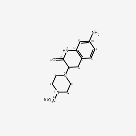 CCOC(=O)N1CCN(C2Cc3ccc(N)cc3NC2=O)CC1